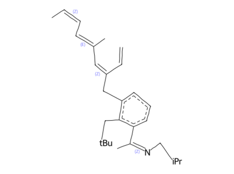 C=C\C(=C/C(C)=C/C=C\C)Cc1cccc(/C(C)=N\CC(C)C)c1CC(C)(C)C